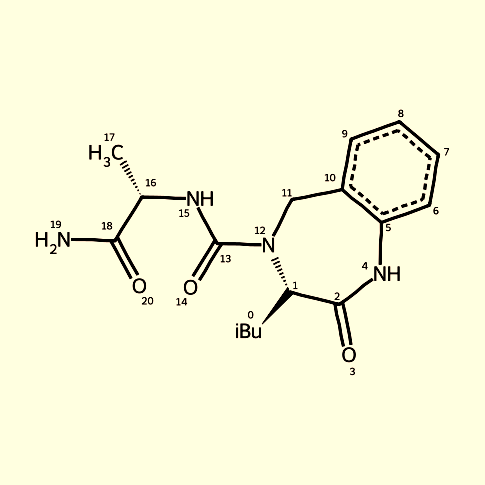 CC[C@H](C)[C@H]1C(=O)Nc2ccccc2CN1C(=O)N[C@@H](C)C(N)=O